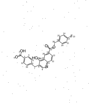 O=C(O)c1ccc(Cc2cnc3ccc(C(=O)OCc4ccc(F)cc4)cc3c2O)cc1